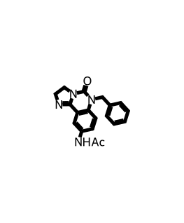 CC(=O)Nc1ccc2c(c1)C1=NCCN1C(=O)N2Cc1ccccc1